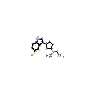 CCN(C)C1CCC(c2c[nH]c3ccc(F)cc23)C1